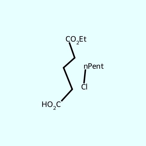 CCCCCCl.CCOC(=O)CCCC(=O)O